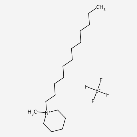 CCCCCCCCCCCC[N+]1(C)CCCCC1.F[B-](F)(F)F